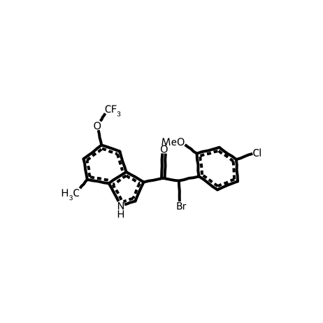 COc1cc(Cl)ccc1C(Br)C(=O)c1c[nH]c2c(C)cc(OC(F)(F)F)cc12